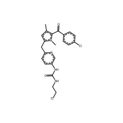 Cc1cc(Cc2ccc(NC(=O)NCCCl)cn2)n(C)c1C(=O)c1ccc(Cl)cc1